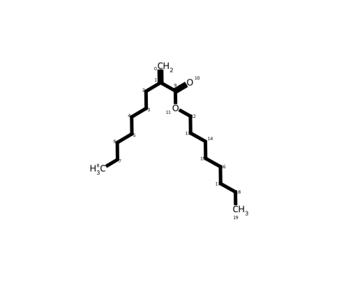 C=C(CCCCCCC)C(=O)OCCCCCCCC